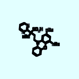 CCCCc1cc(CCCC)c2c(c1)N(CCC(CCCC)(c1ncccn1)S(=O)(=O)O)c1ccccc1O2